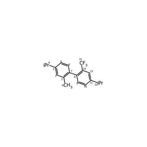 Cc1cc(C(C)C)ccc1-c1ccc(C(C)C)cc1C(F)(F)F